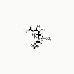 CS(=O)(=O)OC(=O)C(F)(F)[C@@](O)(OC(=O)C(Cl)(Cl)Cl)[C@H](O)C(O)OC(=O)C(Cl)(Cl)Cl